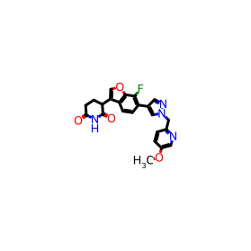 COc1ccc(Cn2cc(-c3ccc4c(C5CCC(=O)NC5=O)coc4c3F)cn2)nc1